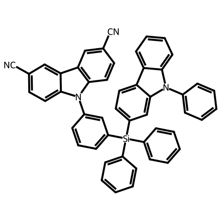 N#Cc1ccc2c(c1)c1cc(C#N)ccc1n2-c1cccc([Si](c2ccccc2)(c2ccccc2)c2ccc3c4ccccc4n(-c4ccccc4)c3c2)c1